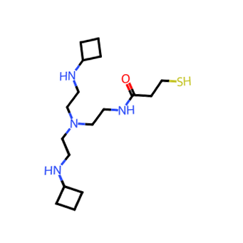 O=C(CCS)NCCN(CCNC1CCC1)CCNC1CCC1